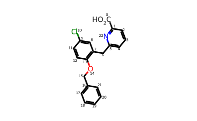 O=C(O)c1cccc(Cc2cc(Cl)ccc2OCc2ccccc2)n1